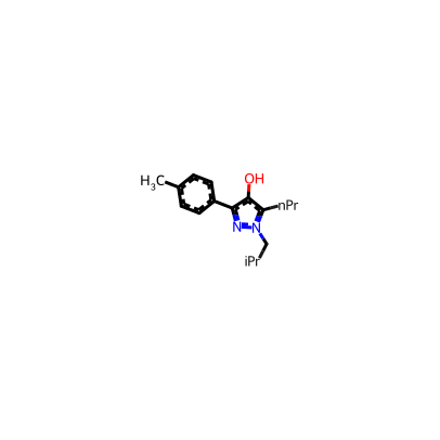 CCCc1c(O)c(-c2ccc(C)cc2)nn1CC(C)C